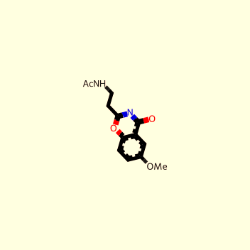 COc1ccc2oc(CCNC(C)=O)nc(=O)c2c1